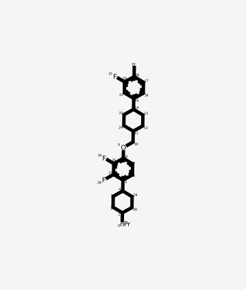 CCCC1CCC(c2ccc(OCC3CCC(c4ccc(C)c(F)c4)CC3)c(F)c2F)CC1